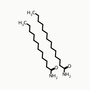 CCCCCCCCCCCC(N)=O.CCCCCCCCCCCCCC(N)=O